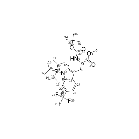 COC(=O)C(Cc1cn([Si](C(C)C)(C(C)C)C(C)C)c2cc(C(F)(F)F)ccc12)NC(=O)OC(C)(C)C